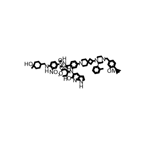 COc1cc(CN2CCN(C3CC4(CCN(c5ccc(C(=O)NS(=O)(=O)c6ccc(NCC7CCC(C)(O)CC7)c([N+](=O)[O-])c6)c(N6c7cc8cc[nH]c8nc7O[C@H]7COCC[C@@H]76)c5)CC4)C3)[C@H](c3ccccc3C)C2)ccc1C1CC1